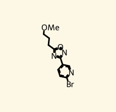 COCCCc1nc(-c2ccc(Br)nc2)no1